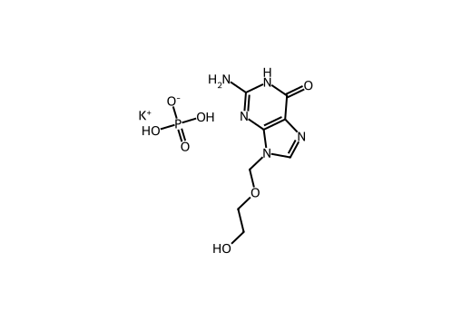 Nc1nc2c(ncn2COCCO)c(=O)[nH]1.O=P([O-])(O)O.[K+]